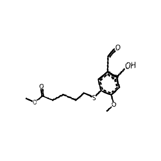 COC(=O)CCCCSc1cc(C=O)c(O)cc1OC